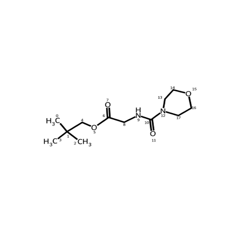 CC(C)(C)COC(=O)CNC(=O)N1CCOCC1